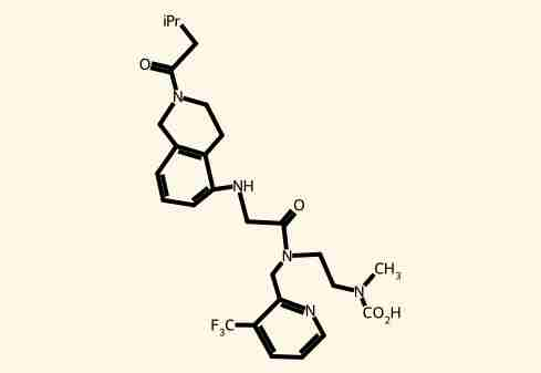 CC(C)CC(=O)N1CCc2c(cccc2NCC(=O)N(CCN(C)C(=O)O)Cc2ncccc2C(F)(F)F)C1